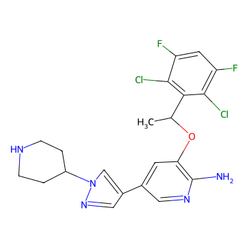 CC(Oc1cc(-c2cnn(C3CCNCC3)c2)cnc1N)c1c(Cl)c(F)cc(F)c1Cl